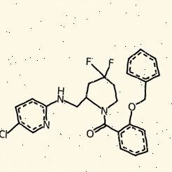 O=C(c1ccccc1OCc1ccccc1)N1CCC(F)(F)CC1CNc1ccc(Cl)cn1